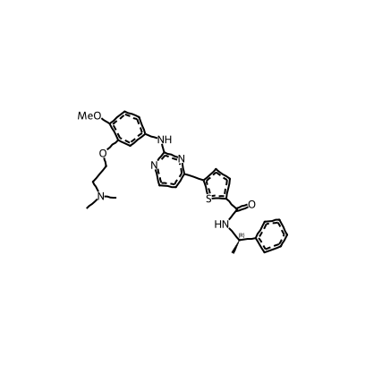 COc1ccc(Nc2nccc(-c3ccc(C(=O)N[C@H](C)c4ccccc4)s3)n2)cc1OCCN(C)C